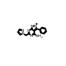 Cn1nc2nc(Cn3cccn3)nc(N)c2c1-c1ccccc1